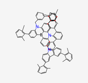 Cc1cccc(-c2cccc(CN3c4cc(-c5c(C)cccc5C)ccc4B4c5ccc(-n6c7ccc(-c8c(C)cccc8C)cc7c7cc(-c8c(C)cccc8C)ccc76)cc5N(c5c(-c6ccccc6)cccc5-c5ccccc5)c5cc(-c6c(C)cccc6C)cc3c54)c2)c1